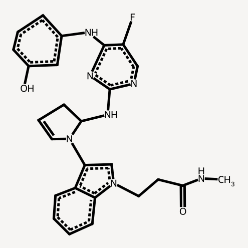 CNC(=O)CCn1cc(N2C=CCC2Nc2ncc(F)c(Nc3cccc(O)c3)n2)c2ccccc21